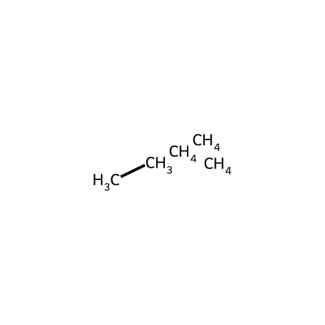 C.C.C.CC